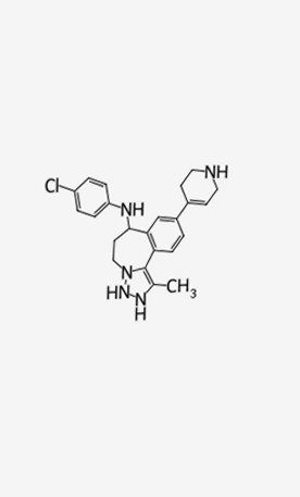 CC1=C2c3ccc(C4=CCNCC4)cc3C(Nc3ccc(Cl)cc3)CCN2NN1